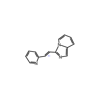 C(=C\c1ncc2ccccn12)/c1ccccn1